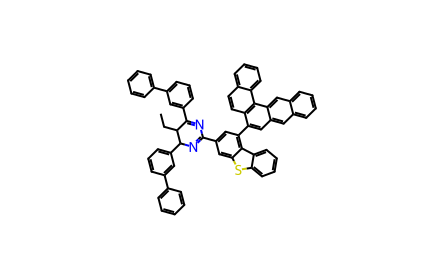 CCC1C(c2cccc(-c3ccccc3)c2)=NC(c2cc(-c3cc4cc5ccccc5cc4c4c3ccc3ccccc34)c3c(c2)sc2ccccc23)=NC1c1cccc(-c2ccccc2)c1